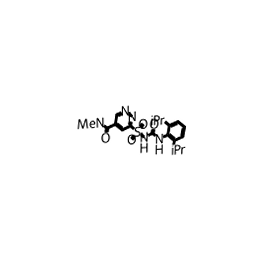 CNC(=O)c1cnnc(S(=O)(=O)NC(=O)Nc2c(C(C)C)cccc2C(C)C)c1